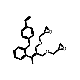 C=Cc1ccc(Cc2ccccc2C(C)=C(COCC2CO2)COCC2CO2)cc1